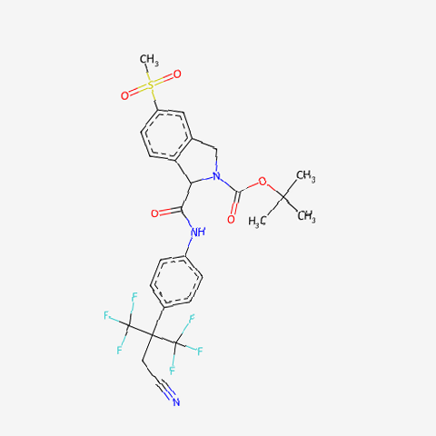 CC(C)(C)OC(=O)N1Cc2cc(S(C)(=O)=O)ccc2C1C(=O)Nc1ccc(C(CC#N)(C(F)(F)F)C(F)(F)F)cc1